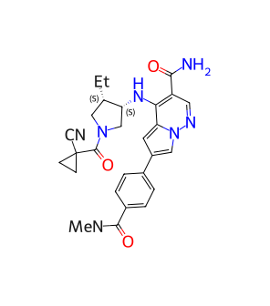 CC[C@H]1CN(C(=O)C2(C#N)CC2)C[C@H]1Nc1c(C(N)=O)cnn2cc(-c3ccc(C(=O)NC)cc3)cc12